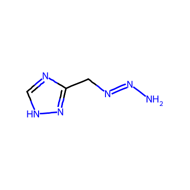 NN=NCc1nc[nH]n1